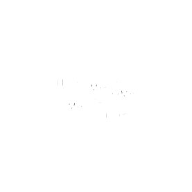 C=CC(=O)O.CCCCCCC[Si](OC)(OC)OC